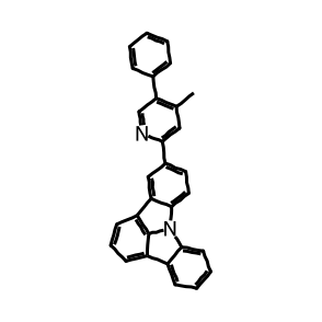 Cc1cc(-c2ccc3c(c2)c2cccc4c5ccccc5n3c42)ncc1-c1ccccc1